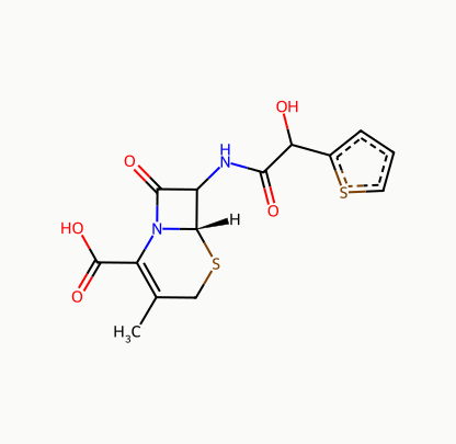 CC1=C(C(=O)O)N2C(=O)C(NC(=O)C(O)c3cccs3)[C@@H]2SC1